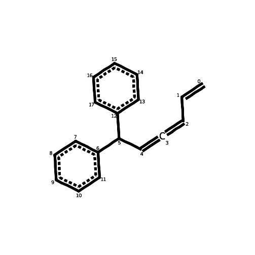 C=CC=C=CC(c1ccccc1)c1ccccc1